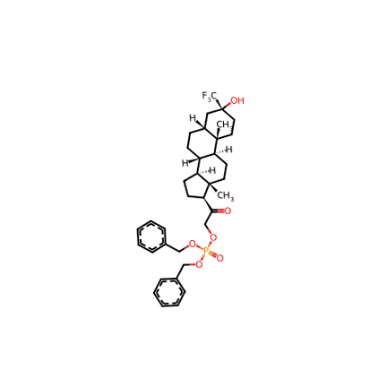 C[C@]12CC[C@](O)(C(F)(F)F)C[C@H]1CC[C@@H]1[C@@H]2CC[C@]2(C)[C@@H](C(=O)COP(=O)(OCc3ccccc3)OCc3ccccc3)CC[C@@H]12